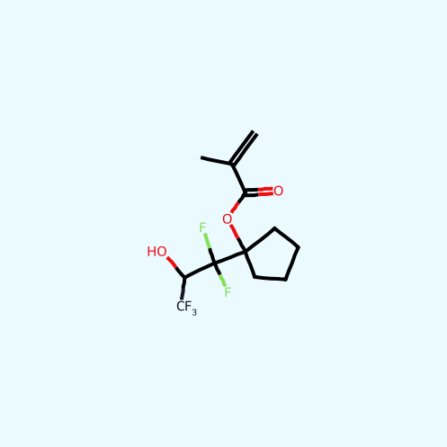 C=C(C)C(=O)OC1(C(F)(F)C(O)C(F)(F)F)CCCC1